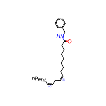 CCCCC/C=C\C/C=C\CCCCCCCC(=O)NCc1ccccc1